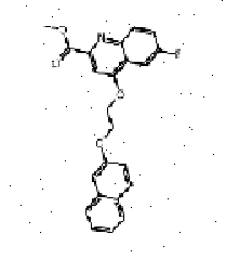 COC(=O)c1cc(OCCOc2ccc3ccccc3c2)c2cc(F)ccc2n1